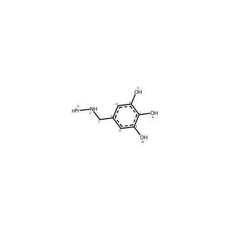 CCCNCc1cc(O)c(O)c(O)c1